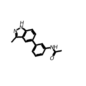 CC(=O)Nc1cccc(-c2ccc3[nH]nc(C)c3c2)c1